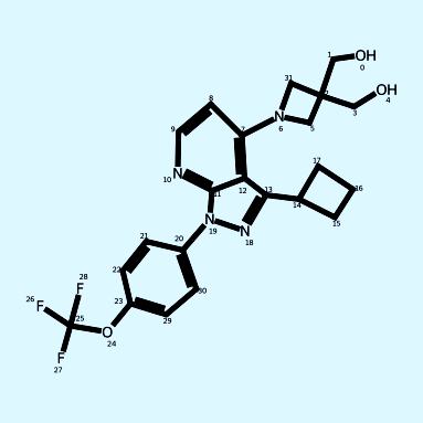 OCC1(CO)CN(c2ccnc3c2c(C2CCC2)nn3-c2ccc(OC(F)(F)F)cc2)C1